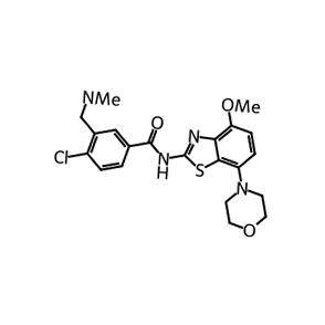 CNCc1cc(C(=O)Nc2nc3c(OC)ccc(N4CCOCC4)c3s2)ccc1Cl